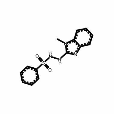 Cn1c(NNS(=O)(=O)c2ccccc2)nc2ccccc21